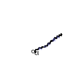 C=CC/C=C/C/C=C/C/C=C/C/C=C/C/C=C/CCC(=O)Cl